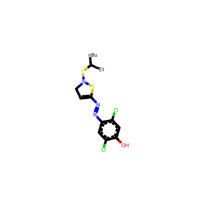 CCCCC(CC)SN1CC=C(/N=N/c2cc(Cl)c(O)cc2Cl)S1